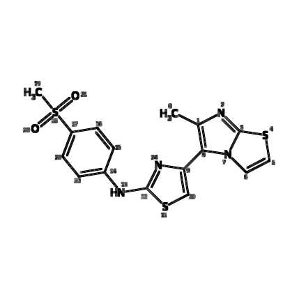 Cc1nc2sccn2c1-c1csc(Nc2ccc(S(C)(=O)=O)cc2)n1